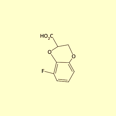 O=C(O)C1COc2cccc(F)c2O1